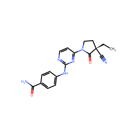 CC[C@]1(C#N)CCN(c2ccnc(Nc3ccc(C(N)=O)cc3)n2)C1=O